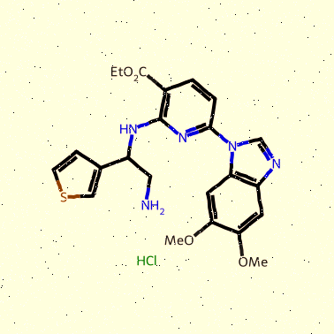 CCOC(=O)c1ccc(-n2cnc3cc(OC)c(OC)cc32)nc1NC(CN)c1ccsc1.Cl